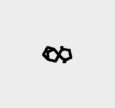 C1CSC2(CC3CCC2C3)S1